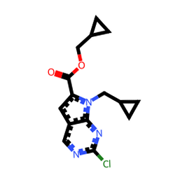 O=C(OCC1CC1)c1cc2cnc(Cl)nc2n1CC1CC1